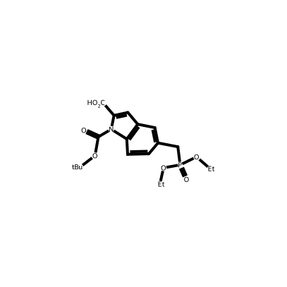 CCOP(=O)(Cc1ccc2c(c1)cc(C(=O)O)n2C(=O)OC(C)(C)C)OCC